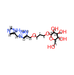 OCC1OC(OCCCOCc2cn(Cc3cnc[nH]3)nn2)C(O)C(O)C1O